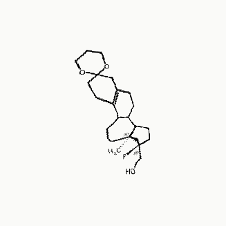 C[C@]12CCC3C4=C(CCC3C1CC[C@]2(F)CO)CC1(CC4)OCCCO1